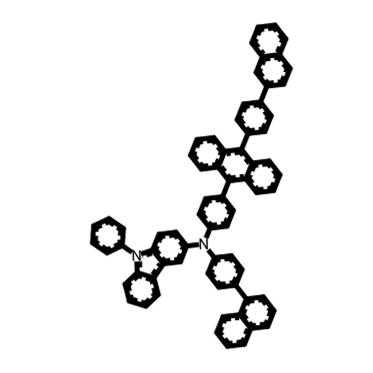 c1ccc(-n2c3ccccc3c3cc(N(c4ccc(-c5cccc6ccccc56)cc4)c4ccc(-c5c6ccccc6c(-c6ccc(-c7ccc8ccccc8c7)cc6)c6ccccc56)cc4)ccc32)cc1